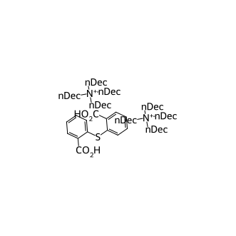 CCCCCCCCCC[N+](CCCCCCCCCC)(CCCCCCCCCC)CCCCCCCCCC.CCCCCCCCCC[N+](CCCCCCCCCC)(CCCCCCCCCC)CCCCCCCCCC.O=C(O)c1ccccc1Sc1ccccc1C(=O)O